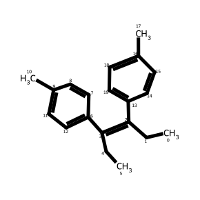 CCC(=C(CC)c1ccc(C)cc1)c1ccc(C)cc1